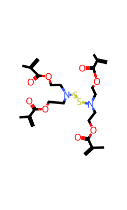 C=C(C)C(=O)OCCN(CCOC(=O)C(=C)C)SSN(CCOC(=O)C(=C)C)CCOC(=O)C(=C)C